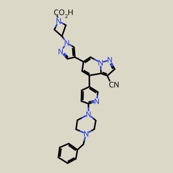 N#Cc1cnn2cc(-c3cnn(C4CN(C(=O)O)C4)c3)cc(-c3ccc(N4CCN(Cc5ccccc5)CC4)nc3)c12